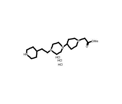 COC(=O)CN1CCC(N2CCN(CCC3CCNCC3)CC2)CC1.Cl.Cl.Cl